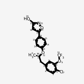 C[C@H](Cc1ccc(Cl)c(OC(F)(F)F)c1)Oc1ccc(-c2cc(O)no2)cc1